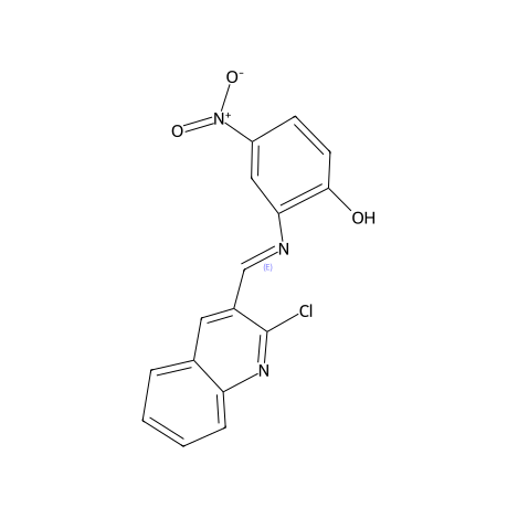 O=[N+]([O-])c1ccc(O)c(/N=C/c2cc3ccccc3nc2Cl)c1